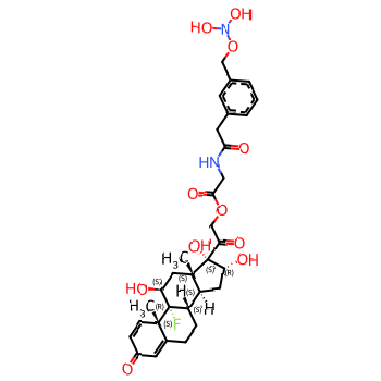 C[C@]12C=CC(=O)C=C1CC[C@H]1[C@@H]3C[C@@H](O)[C@](O)(C(=O)COC(=O)CNC(=O)Cc4cccc(CON(O)O)c4)[C@@]3(C)C[C@H](O)[C@@]12F